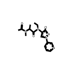 CCN(C(=O)C(C)N(C)C(C)=O)c1cn(-c2cccnc2)nc1Cl